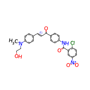 CN(CCO)c1ccc(/C=C/C(=O)c2ccc(NC(=O)c3cc([N+](=O)[O-])ccc3Cl)cc2)cc1